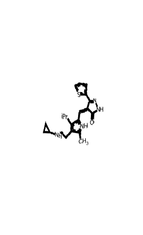 Cc1[nH]c(C=C2C(=O)NN=C2c2cccs2)c(C(C)C)c1CCNC1CC1